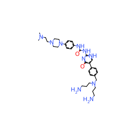 CN(C)CCN1CCN(c2ccc(NC(=O)Nc3nc(=O)c(-c4ccc(CN(CCCN)CCCN)cc4)c[nH]3)cc2)CC1